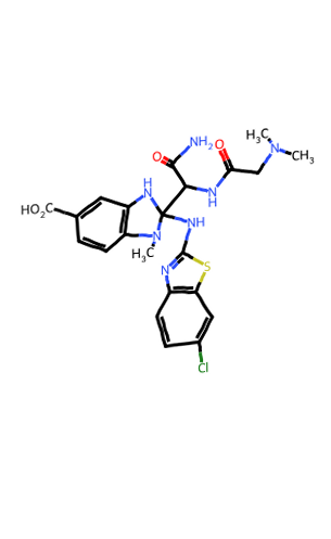 CN(C)CC(=O)NC(C(N)=O)C1(Nc2nc3ccc(Cl)cc3s2)Nc2cc(C(=O)O)ccc2N1C